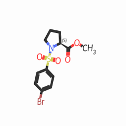 COC(=O)[C@@H]1CCCN1S(=O)(=O)c1ccc(Br)cc1